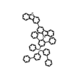 c1ccc(-c2cccc(S(c3ccccc3)(c3cccc(-c4ccccc4)c3)c3cc(-c4ccccc4)c(-n4c5ccccc5c5cc(-c6ccc7sc8ccccc8c7c6)ccc54)c(-c4ccccc4)c3)c2)cc1